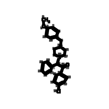 COc1ccc(CN2CCN(C(C(=O)c3ccc(Cl)cc3)c3ccccc3)CC2)cc1